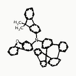 CC1(C)c2ccccc2-c2ccc(N(c3ccc4c(c3)C3(c5ccccc5-c5ccccc5-4)c4ccccc4-c4ccccc43)c3ccc4c(c3)oc3ccccc34)cc21